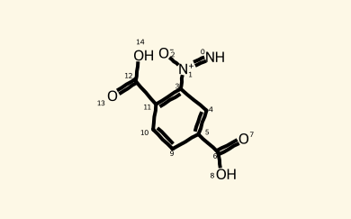 N=[N+]([O-])c1cc(C(=O)O)ccc1C(=O)O